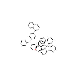 c1ccc(N(c2ccc(-c3cccc4ccccc34)cc2)c2cccc(N(c3ccccc3)c3cccc4c3C3(c5ccccc5-4)c4ccccc4-c4ccc5ccccc5c43)c2)cc1